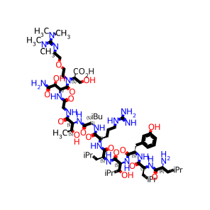 CC[C@H](C)[C@H](NC(=O)[C@@H](CCCNC(=N)N)NC(=O)[C@H](CC(C)C)NC(=O)[C@@H](NC(=O)[C@H](Cc1cccc(O)c1)NC(=O)[C@H](CC(C)C)NC(=O)[C@H](N)CC(C)C)C(O)C(C)C)C(=O)N[C@H](C(=O)NCC(=O)N[C@H](C(=O)N(CCOCCN=C(N(C)C)N(C)C)[C@@H](CO)C(=O)O)C(O)C(N)=O)[C@H](C)O